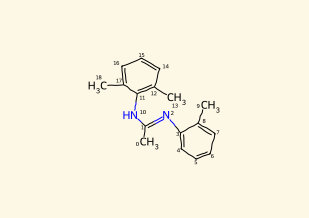 C/C(=N\c1ccccc1C)Nc1c(C)cccc1C